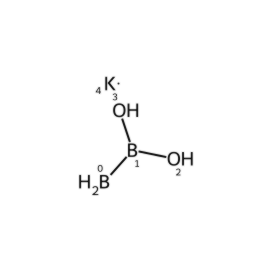 BB(O)O.[K]